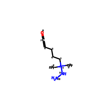 CCC[N+](CCC)(CCCC=C=O)NN